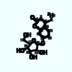 [2H]Cc1cc(=O)oc2cc(OC3O[C@H](CO)[C@H](O)[C@H](O)[C@H]3O)ccc12